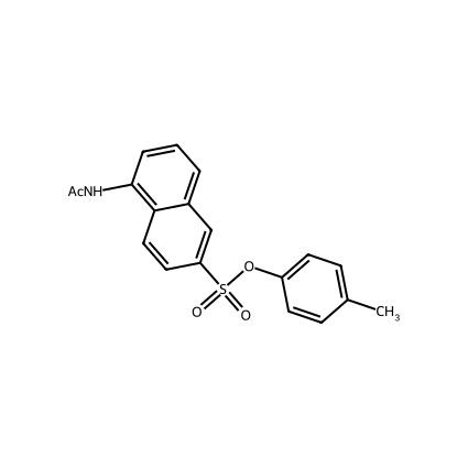 CC(=O)Nc1cccc2cc(S(=O)(=O)Oc3ccc(C)cc3)ccc12